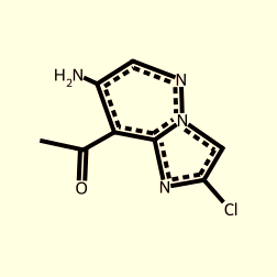 CC(=O)c1c(N)cnn2cc(Cl)nc12